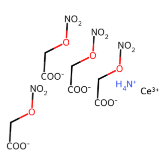 O=C([O-])CO[N+](=O)[O-].O=C([O-])CO[N+](=O)[O-].O=C([O-])CO[N+](=O)[O-].O=C([O-])CO[N+](=O)[O-].[Ce+3].[NH4+]